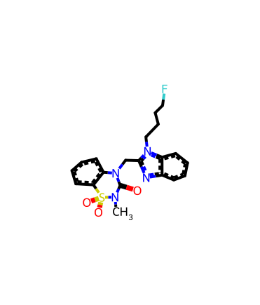 CN1C(=O)N(Cc2nc3ccccc3n2CCCCF)c2ccccc2S1(=O)=O